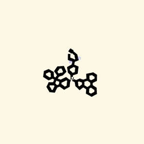 C#C/C=C\C(=C/C)c1ccc(N(c2ccc3c(c2)C(c2ccccc2)(c2ccccc2)c2ccccc2-3)c2ccc3c4ccccc4c4ccccc4c3c2)cc1